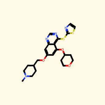 CN1CCC(COc2cc(OC3CCOCC3)c3c(Sc4nccs4)ncnc3c2)CC1